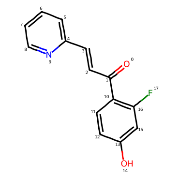 O=C(/C=C/c1ccccn1)c1ccc(O)cc1F